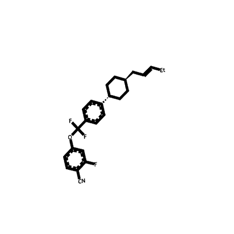 CCC=CC[C@H]1CC[C@H](c2ccc(C(F)(F)Oc3ccc(C#N)c(F)c3)cc2)CC1